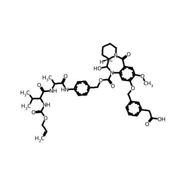 C=CCOC(=O)NC(C(=O)NC(C)C(=O)Nc1ccc(COC(=O)N2c3cc(OCc4cccc(CC(=O)O)c4)c(OC)cc3C(=O)N3CCCC[C@H]3C2O)cc1)C(C)C